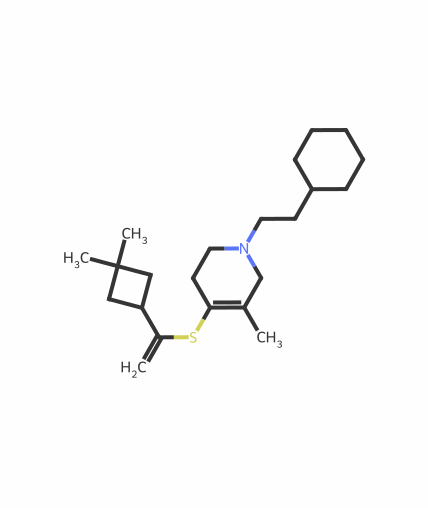 C=C(SC1=C(C)CN(CCC2CCCCC2)CC1)C1CC(C)(C)C1